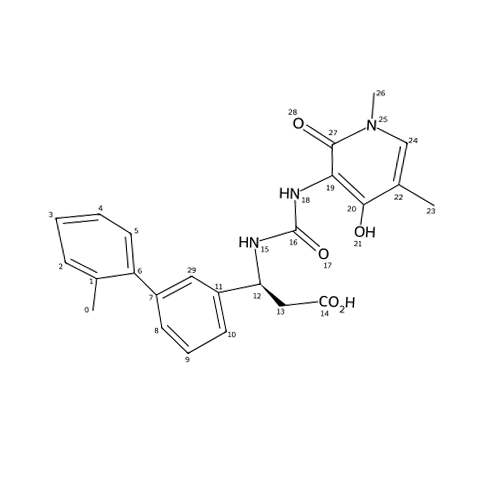 Cc1ccccc1-c1cccc([C@H](CC(=O)O)NC(=O)Nc2c(O)c(C)cn(C)c2=O)c1